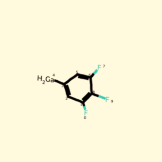 Fc1c[c]([GaH2])cc(F)c1F